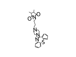 CC1C(=O)N(CCCCN2CCN(C3=Nc4ccccc4Sc4ccccc43)CC2)C(=O)C1C